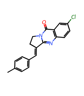 Cc1ccc(C=C2CCn3c2nc2ccc(Cl)cc2c3=O)cc1